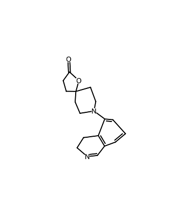 O=C1CCC2(CCN(c3cccc4c3CCN=C4)CC2)O1